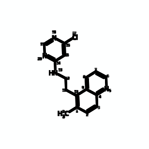 Cc1ccc2ncccc2c1CCNc1cc(Cl)ncn1